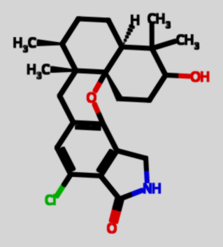 C[C@H]1CC[C@H]2C(C)(C)C(O)CC[C@]23Oc2c(cc(Cl)c4c2CNC4=O)C[C@]13C